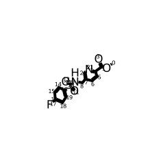 COC(=O)c1ccc(CNS(=O)(=O)c2ccc(F)cc2)cn1